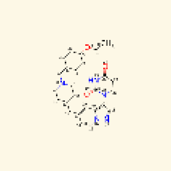 CCOC1CCC(CN2CCC(Cc3ccn4ncc(N5CCC(=O)NC5=O)c4c3)CC2)CC1